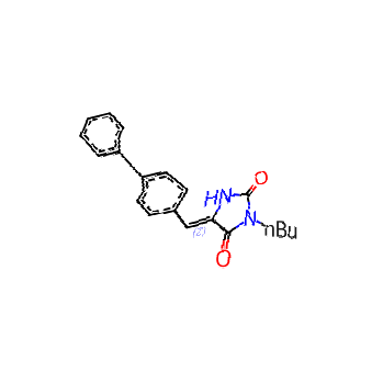 CCCCN1C(=O)N/C(=C\c2ccc(-c3ccccc3)cc2)C1=O